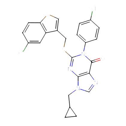 O=c1c2ncn(CC3CC3)c2nc(SCc2csc3ccc(Cl)cc23)n1-c1ccc(Cl)cc1